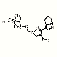 C[Si](C)(C)CCOCn1cc([N+](=O)[O-])c(-c2cnn3c2CCC3)n1